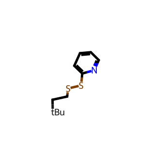 CC(C)(C)CCSSc1ccccn1